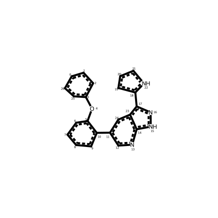 c1ccc(Oc2ccccc2-c2cnc3[nH]nc(-c4ccc[nH]4)c3c2)cc1